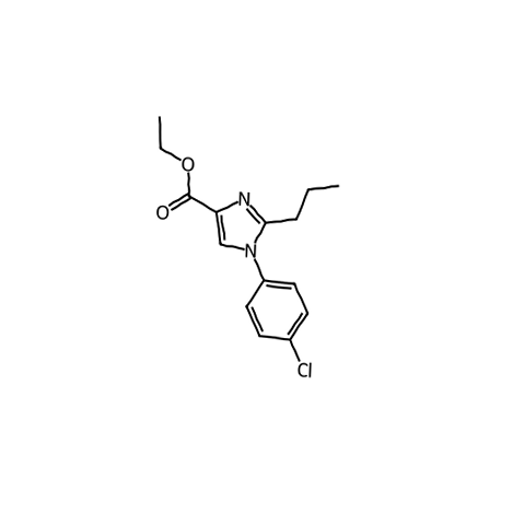 CCCc1nc(C(=O)OCC)cn1-c1ccc(Cl)cc1